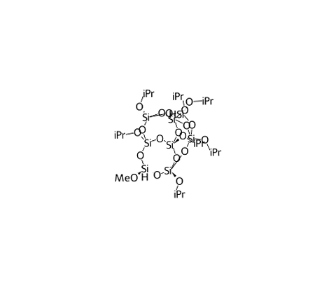 CO[Si@H]1O[Si]2(OC(C)C)O[Si@]3(OC(C)C)O[Si@H](OC(C)C)O[Si]4(OC(C)C)O[Si](OC(C)C)(O3)O[Si@@](OC(C)C)(O2)O[Si@@](OC(C)C)(O1)O4